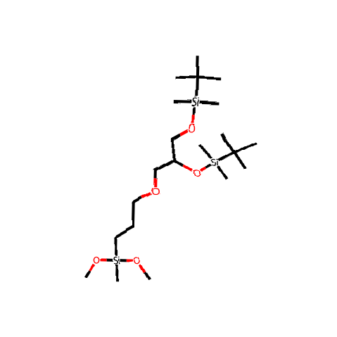 CO[Si](C)(CCCOCC(CO[Si](C)(C)C(C)(C)C)O[Si](C)(C)C(C)(C)C)OC